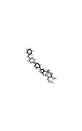 CCC(C(=O)O)N1Cc2sc(-c3ccc(N4CCN(Cc5ccccc5)CC4)nc3)cc2S1(=O)=O